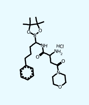 CC1(C)OB(C(CCCc2ccccc2)NC(=O)C(N)CC(=O)N2CCOCC2)OC1(C)C.Cl